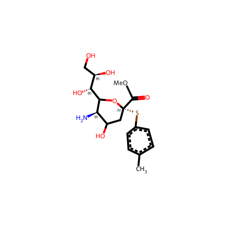 COC(=O)[C@@]1(Sc2ccc(C)cc2)CC(O)[C@@H](N)C([C@H](O)[C@H](O)CO)O1